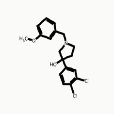 COc1cccc(CN2CCC(O)(c3ccc(Cl)c(Cl)c3)C2)c1